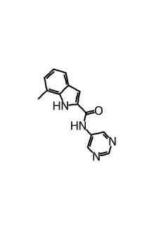 Cc1cccc2cc(C(=O)Nc3cncnc3)[nH]c12